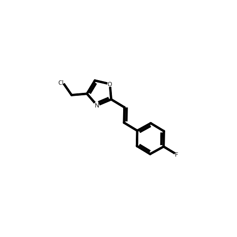 Fc1ccc(/C=C/c2nc(CCl)co2)cc1